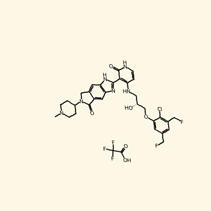 CN1CCC(N2Cc3cc4[nH]c(-c5c(NC[C@@H](O)COc6cc(CF)cc(CF)c6Cl)cc[nH]c5=O)nc4cc3C2=O)CC1.O=C(O)C(F)(F)F